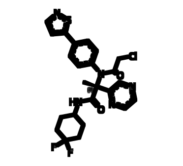 C[C@](C(=O)NC1CCC(F)(F)CC1)(c1cnccn1)N(C(=O)CCl)c1ccc(-c2ccns2)cc1